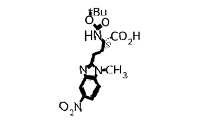 Cn1c(CC[C@H](NC(=O)OC(C)(C)C)C(=O)O)nc2cc([N+](=O)[O-])ccc21